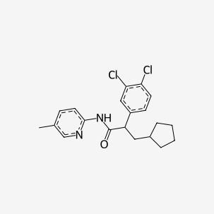 Cc1ccc(NC(=O)C(CC2CCCC2)c2ccc(Cl)c(Cl)c2)nc1